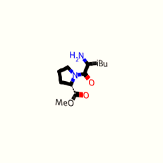 CCC(C)C(N)C(=O)N1CCC[C@H]1C(=O)OC